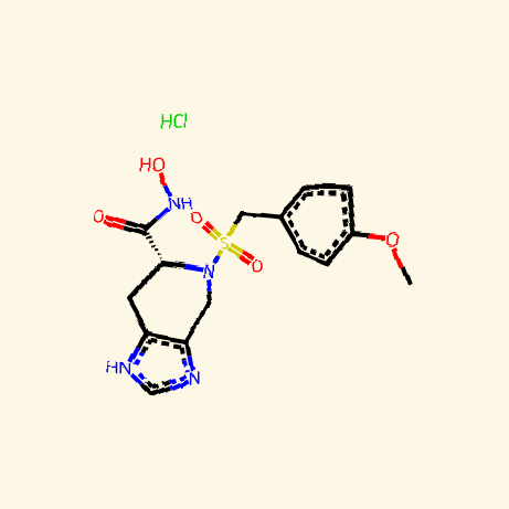 COc1ccc(CS(=O)(=O)N2Cc3nc[nH]c3C[C@@H]2C(=O)NO)cc1.Cl